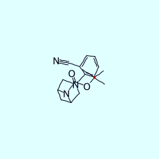 CC(C)(C)OC(=O)N1C2CC1CN(c1ccccc1C#N)C2